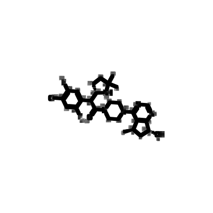 C[C@@H]1C[C@@H](O)c2ncnc(N3CCN(C(=O)[C@@H](c4cc(F)c(Cl)cc4F)[C@@H]4CCC(C)(C)N4)CC3)c21